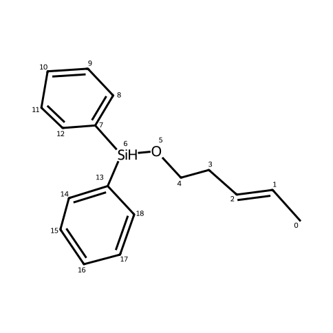 CC=CCCO[SiH](c1ccccc1)c1ccccc1